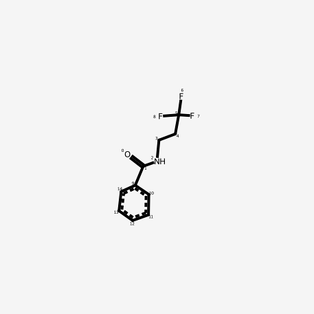 O=C(NCCC(F)(F)F)c1ccccc1